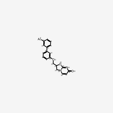 CC(=O)c1cccc(-c2cccc(OCC3Cn4ccc(=O)nc4O3)c2)c1